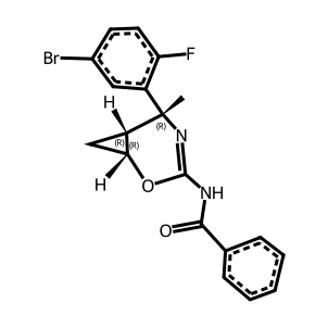 C[C@@]1(c2cc(Br)ccc2F)N=C(NC(=O)c2ccccc2)O[C@@H]2C[C@@H]21